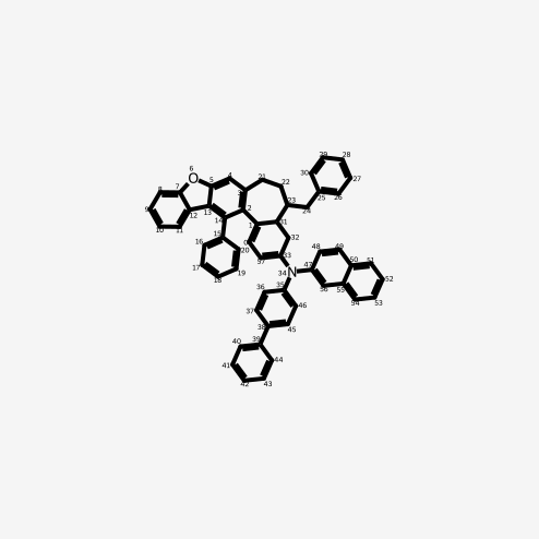 C1=C2c3c(cc4oc5ccccc5c4c3-c3ccccc3)CCC(Cc3ccccc3)C2CC(N(c2ccc(-c3ccccc3)cc2)c2ccc3ccccc3c2)=C1